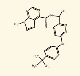 CC(NC(=O)c1ncnc2c1cnn2C)c1ccc(Nc2ccc(C(C)(C)C)cc2)nn1